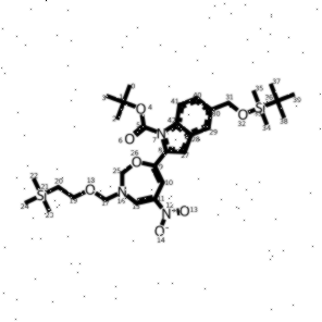 CC(C)(C)OC(=O)n1c(C2=CC([N+](=O)[O-])=CN(COCC[Si](C)(C)C)CO2)cc2cc(CO[Si](C)(C)C(C)(C)C)ccc21